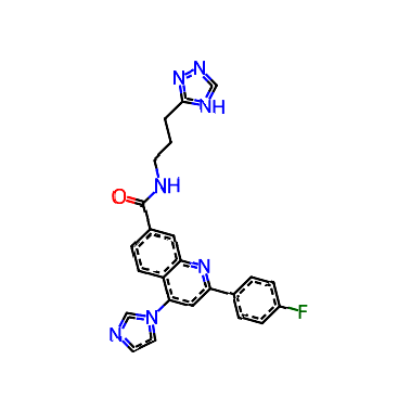 O=C(NCCCc1nnc[nH]1)c1ccc2c(-n3ccnc3)cc(-c3ccc(F)cc3)nc2c1